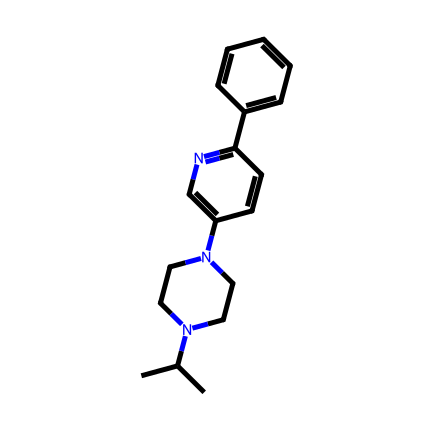 CC(C)N1CCN(c2ccc(-c3ccccc3)nc2)CC1